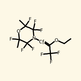 CCO/[C](=[Cf]\[N]1C(F)(F)C(C)(F)OC(C)(F)C1(F)F)C(F)(F)F